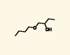 CCCCOCC(O)CC